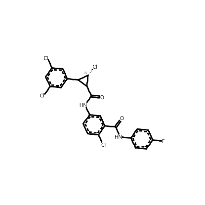 O=C(Nc1ccc(F)cc1)c1cc(NC(=O)C2C(c3cc(Cl)cc(Cl)c3)[C@@H]2Cl)ccc1Cl